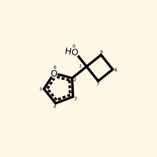 OC1(c2ccco2)CCC1